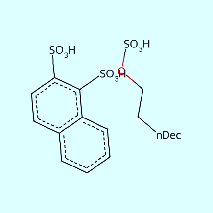 CCCCCCCCCCCCOS(=O)(=O)O.O=S(=O)(O)c1ccc2ccccc2c1S(=O)(=O)O